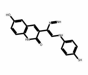 N=N/C(=C\Nc1ccc(S)cc1)c1cc2cc(O)ccc2[nH]c1=O